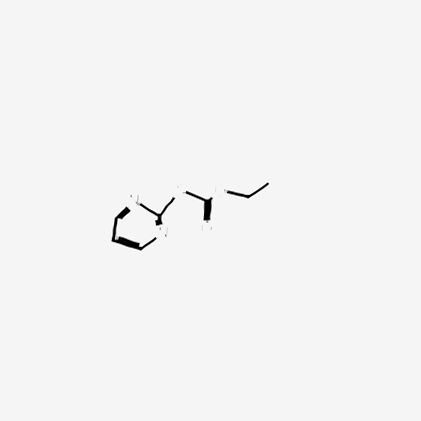 CCOC(=O)Sc1ncccn1